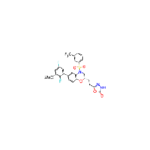 COc1cc(F)cc(-c2ccc3c(c2)N(S(=O)(=O)c2cccc(C(F)(F)F)c2)C[C@H](CCc2n[nH]c(=O)o2)O3)c1F